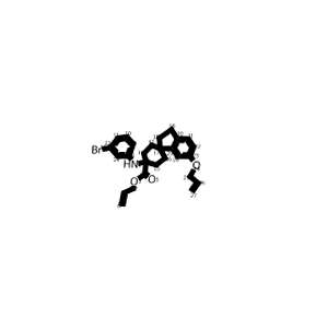 C=CCOC(=O)C1(Nc2cccc(Br)c2)CCC2(CCc3ccc(OCC=C)cc32)CC1